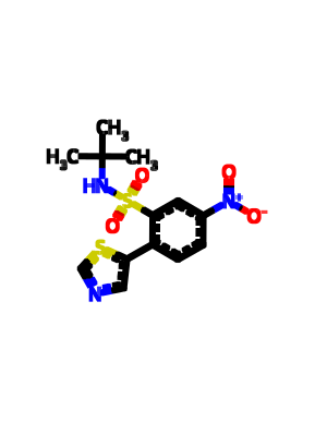 CC(C)(C)NS(=O)(=O)c1cc([N+](=O)[O-])ccc1-c1cncs1